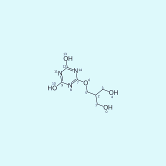 OCC(CO)COc1nc(O)nc(O)n1